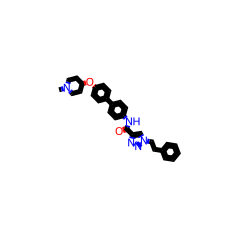 CN1CCC(Oc2ccc(-c3ccc(NC(=O)c4cn(CCc5ccccc5)nn4)cc3)cc2)CC1